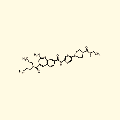 CCCN(CCC)C(=O)C1=Cc2ccc(C(=O)Nc3ccc(N4CCC(C(=O)NCC)CC4)nc3)cc2N=C(N)C1